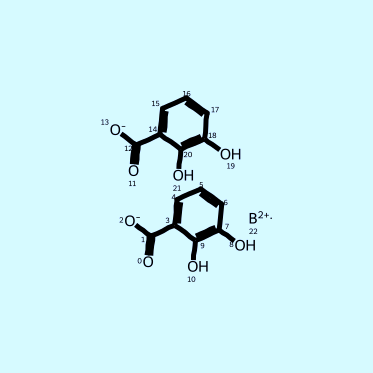 O=C([O-])c1cccc(O)c1O.O=C([O-])c1cccc(O)c1O.[B+2]